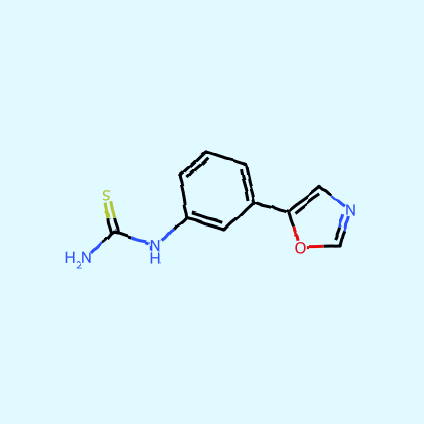 NC(=S)Nc1cccc(-c2cnco2)c1